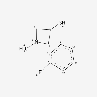 CN1CC(S)C1.Fc1ccccc1